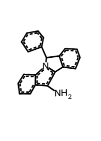 Nc1c2n(c3ccccc13)C(c1ccccc1)c1ccccc1-2